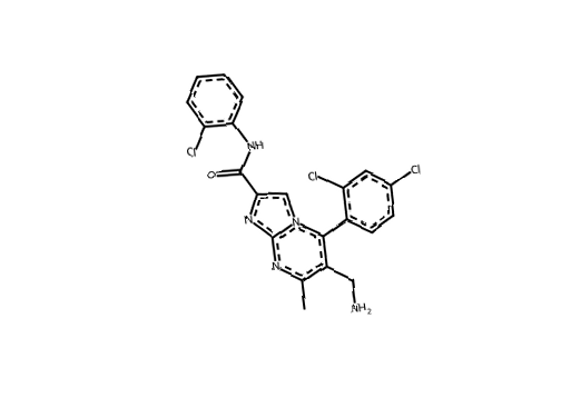 Cc1nc2nc(C(=O)Nc3ccccc3Cl)cn2c(-c2ccc(Cl)cc2Cl)c1CN